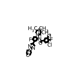 C[C@@H]1CN(c2cc(F)c(-c3cnc(N4CCOCC4)nc3)cc2NC(=O)c2cc(Cl)c(F)c(Cl)c2)C[C@H](C)N1C